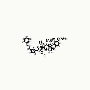 COc1ccc(CN2CCN(CCC(C)(C)CCc3ccc(CCCc4ccccc4)s3)CC2)c(OC)c1OC